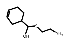 NCCSC(O)C1CC=CCC1